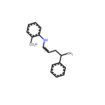 CC(C/C=C\Nc1ccccc1C(=O)O)c1ccccc1